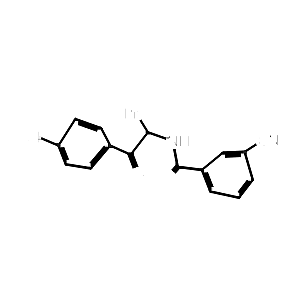 CC(C)C(NC(=O)c1cccc(C#N)c1)C(=O)c1ccc(Cl)cc1